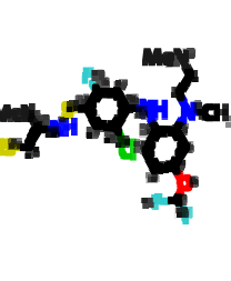 CNCCN(C)c1cc(OC(F)F)ccc1Nc1cc(F)c(SN/C(=C/S)NC)cc1Cl